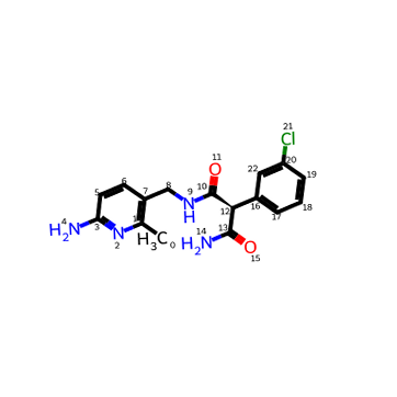 Cc1nc(N)ccc1CNC(=O)[C@H](C(N)=O)c1cccc(Cl)c1